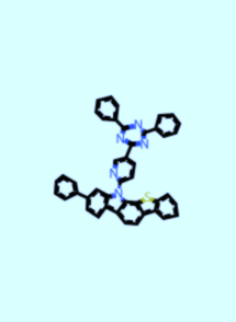 c1ccc(-c2ccc3c4ccc5c6ccccc6sc5c4n(-c4ccc(-c5nc(-c6ccccc6)nc(-c6ccccc6)n5)cn4)c3c2)cc1